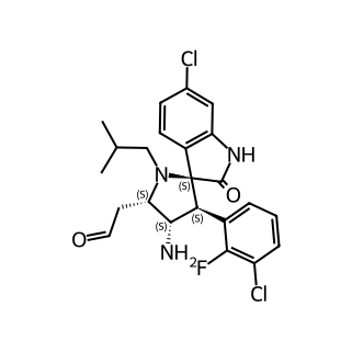 CC(C)CN1[C@@H](CC=O)[C@@H](N)[C@H](c2cccc(Cl)c2F)[C@]12C(=O)Nc1cc(Cl)ccc12